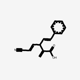 C=C(C(=O)O)C(C=CC#N)C=Cc1ccccc1